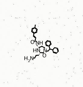 Cc1ccc(/C=C/C(=O)NC[C@@H]2CCN(CC(c3ccccc3)C3C=CC=CC3)C(=O)[C@H](CCCN)N2)cc1